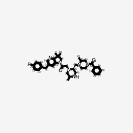 CC1CN(CC(=O)N2CC(C)(C)c3ncc(Cc4ccc(F)cc4)cc32)[C@@H](CN2CCN(C(=O)c3ccccc3)CC2C)CN1